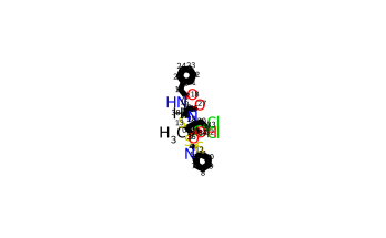 CC1(CSc2nc3ccccc3s2)S[C@@H]2C(NC(=O)Cc3ccccc3)C(=O)N2C1(CC(Cl)(Cl)Cl)C(=O)O